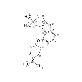 CN(C)[C@H]1CC[C@H](Oc2ncnc3sc4c(c23)CC(C)(C)CC4)CC1